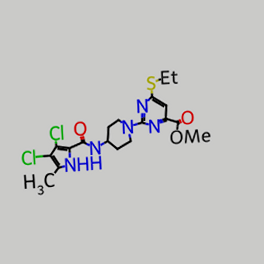 CCSc1cc(C(=O)OC)nc(N2CCC(NC(=O)c3[nH]c(C)c(Cl)c3Cl)CC2)n1